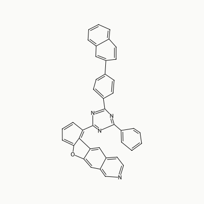 c1ccc(-c2nc(-c3ccc(-c4ccc5ccccc5c4)cc3)nc(-c3cccc4oc5cc6cnccc6cc5c34)n2)cc1